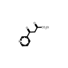 CCOC(=O)C(=O)CC(=O)c1cccnc1